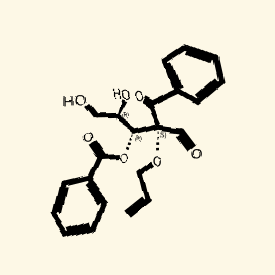 C=CCO[C@@](C=O)(C(=O)c1ccccc1)[C@H](OC(=O)c1ccccc1)[C@H](O)CO